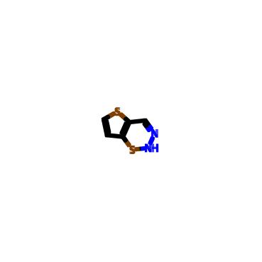 C1=NNSc2ccsc21